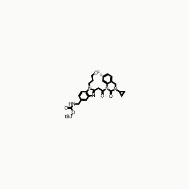 CC(C)(C)OC(=O)NCc1ccc2c(c1)nc(CC(=O)N1C(=O)N(C3CC3)Cc3ccccc31)n2CCCC(F)(F)F